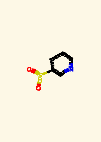 O=[SH](=O)c1[c]ccnc1